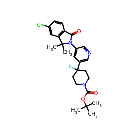 CC(C)(C)OC(=O)N1CCC(F)(c2cncc(N3C(=O)c4ccc(Cl)cc4C3(C)C)c2)CC1